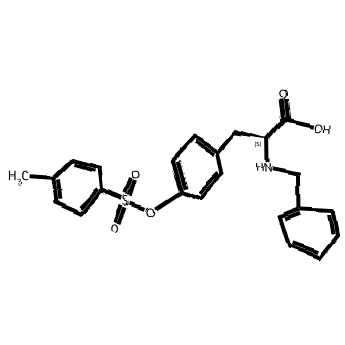 Cc1ccc(S(=O)(=O)Oc2ccc(C[C@H](NCc3ccccc3)C(=O)O)cc2)cc1